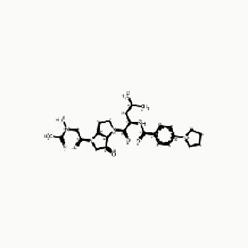 CC(=O)N(C)CC(=O)N1CC(=O)C2C1CCN2C(=O)C(CC(C)C)NC(=O)c1ccc(N2CCCC2)cc1